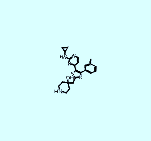 Cc1cccc(-c2nc(CC3(O)CCNCC3)sc2-c2ccnc(NC3CC3)n2)c1